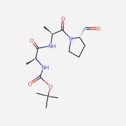 C[C@H](NC(=O)OC(C)(C)C)C(=O)N[C@@H](C)C(=O)N1CCC[C@H]1[C]=O